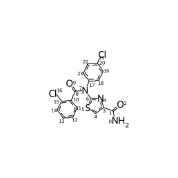 NC(=O)c1csc(N(C(=O)c2ccccc2Cl)c2ccc(Cl)cc2)n1